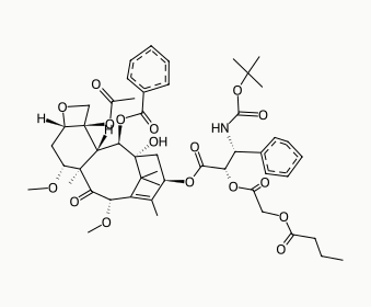 CCCC(=O)OCC(=O)O[C@H](C(=O)O[C@@H]1C[C@]2(O)[C@H](OC(=O)c3ccccc3)[C@H]3[C@@]4(OC(C)=O)CO[C@H]4C[C@@H](OC)[C@]3(C)C(=O)[C@@H](OC)C(=C1C)C2(C)C)[C@H](NC(=O)OC(C)(C)C)c1ccccc1